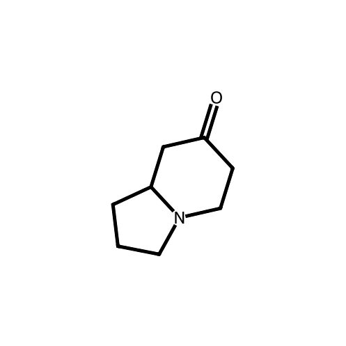 O=C1CCN2CCCC2C1